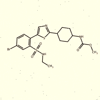 CCNS(=O)(=O)c1cc(Br)ccc1-c1cnc(C2CCC(NC(=O)OC)CC2)s1